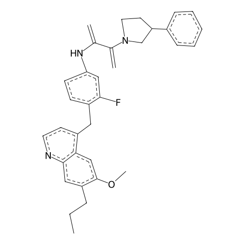 C=C(Nc1ccc(Cc2ccnc3cc(CCC)c(OC)cc23)c(F)c1)C(=C)N1CCC(c2ccccc2)C1